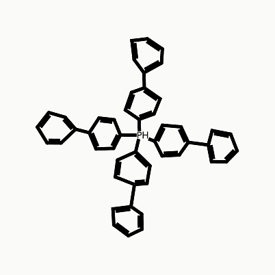 c1ccc(-c2ccc([PH](c3ccc(-c4ccccc4)cc3)(c3ccc(-c4ccccc4)cc3)c3ccc(-c4ccccc4)cc3)cc2)cc1